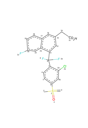 C=S(C)(=O)c1ccc(C(F)(F)c2cc(CC(=O)O)cc3ccc(F)cc23)c(Cl)c1